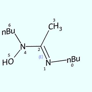 CCCC/N=C(\C)N(O)CCCC